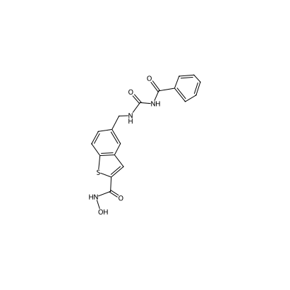 O=C(NCc1ccc2sc(C(=O)NO)cc2c1)NC(=O)c1ccccc1